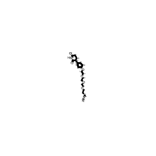 [N-]=[N+]=NCCOCCOCCOCCOc1ccc(C2CCC(=O)NC2=O)cc1